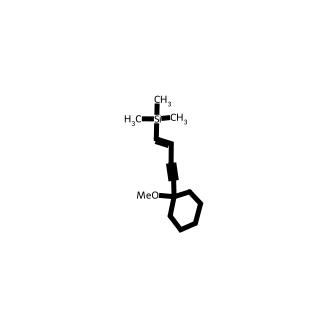 COC1(C#C/C=C/[Si](C)(C)C)CCCCC1